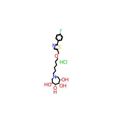 Cl.O[C@H]1[C@H](O)[C@@H](O)CN(CCCCCCOCc2cnc(-c3ccc(F)cc3)s2)C[C@@H]1O